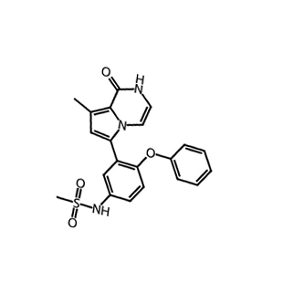 Cc1cc(-c2cc(NS(C)(=O)=O)ccc2Oc2ccccc2)n2cc[nH]c(=O)c12